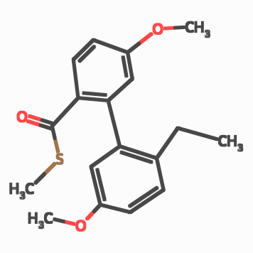 CCc1ccc(OC)cc1-c1cc(OC)ccc1C(=O)SC